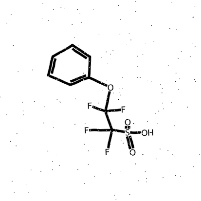 O=S(=O)(O)C(F)(F)C(F)(F)Oc1ccccc1